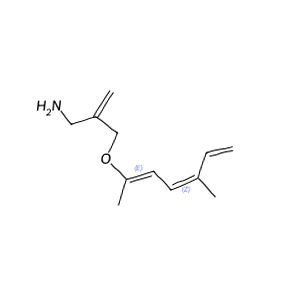 C=C/C(C)=C\C=C(/C)OCC(=C)CN